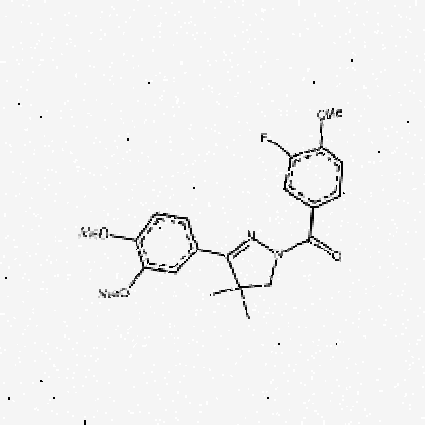 COc1ccc(C(=O)N2CC(C)(C)C(c3ccc(OC)c(OC)c3)=N2)cc1F